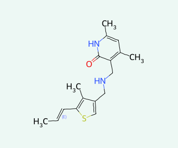 C/C=C/c1scc(CNCc2c(C)cc(C)[nH]c2=O)c1C